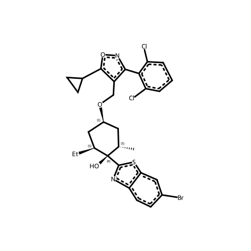 CC[C@H]1C[C@@H](OCc2c(-c3c(Cl)cccc3Cl)noc2C2CC2)C[C@H](C)[C@]1(O)c1nc2ccc(Br)cc2s1